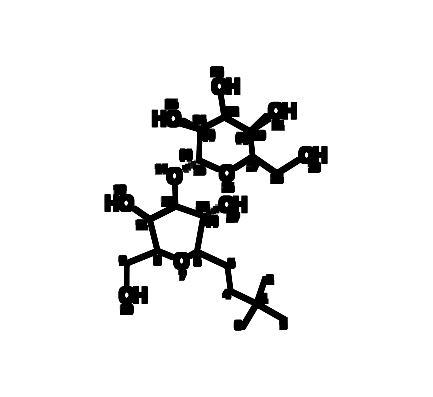 CC(C)(C)CCC1OC(CO)C(O)C(O[C@H]2OC(CO)[C@H](O)C(O)[C@@H]2O)[C@@H]1O